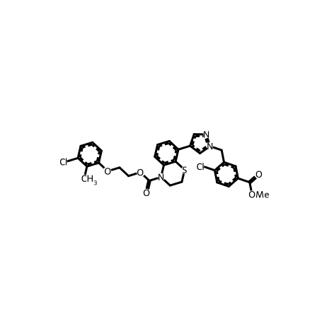 COC(=O)c1ccc(Cl)c(Cn2cc(-c3cccc4c3SCCN4C(=O)OCCOc3cccc(Cl)c3C)cn2)c1